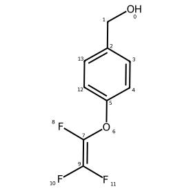 OCc1ccc(OC(F)=C(F)F)cc1